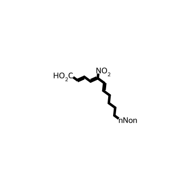 CCCCCCCCCCCCCC=CC(=CC=CC(=O)O)[N+](=O)[O-]